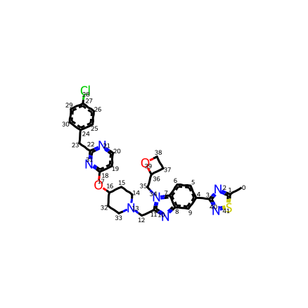 Cc1nc(-c2ccc3c(c2)nc(CN2CCC(Oc4ccnc(Cc5ccc(Cl)cc5)n4)CC2)n3CC2CCO2)ns1